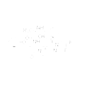 CC(C)(N)C(=O)NC(COc1ccccc1)C(=O)N1CCC2=NN(CC(F)F)C(=O)[C@]2(Cc2ccccc2)C1